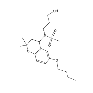 CCCCOc1ccc2c(c1)C(N(CCCO)S(C)(=O)=O)CC(C)(C)O2